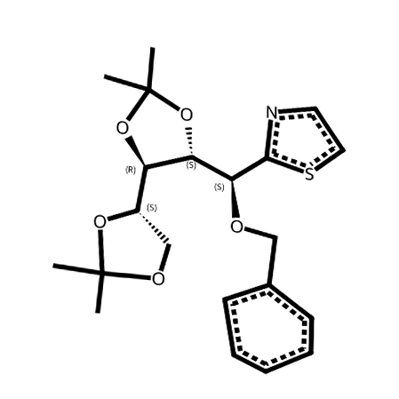 CC1(C)O[C@H]([C@@H]2COC(C)(C)O2)[C@@H]([C@H](OCc2ccccc2)c2nccs2)O1